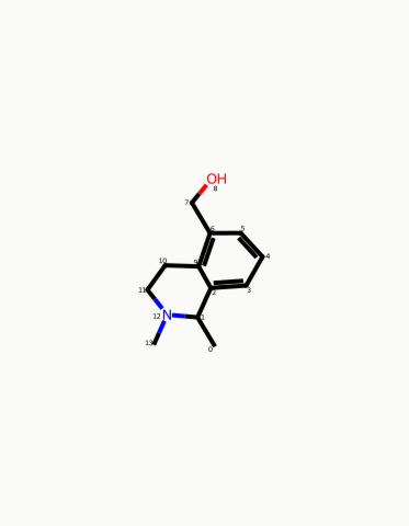 CC1c2cccc(CO)c2CCN1C